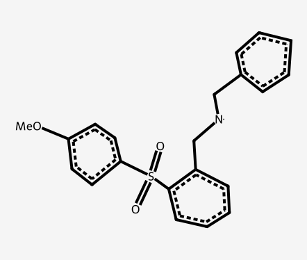 COc1ccc(S(=O)(=O)c2ccccc2C[N]Cc2ccccc2)cc1